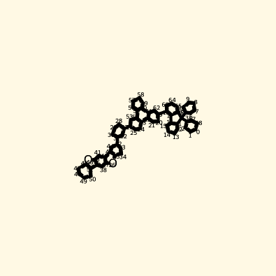 c1ccc(C2(c3ccccc3)c3ccccc3-c3c(-c4ccc5c6ccc(-c7cccc(-c8ccc9oc%10cc%11c(cc%10c9c8)oc8ccccc8%11)c7)cc6c6ccccc6c5c4)cccc32)cc1